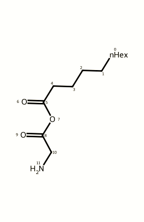 CCCCCCCCCCC(=O)OC(=O)CN